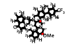 [2H]c1c([2H])c(F)c(F)c(CSc2c([2H])c(=O)c3c([2H])c(C)c([2H])c([2H])c3n2CC(=O)N(Cc2c([2H])c([2H])c(-c3c([2H])c([2H])c(C(F)(F)F)c([2H])c3[2H])c([2H])c2[2H])C2CCN(CCOC)CC2)c1[2H]